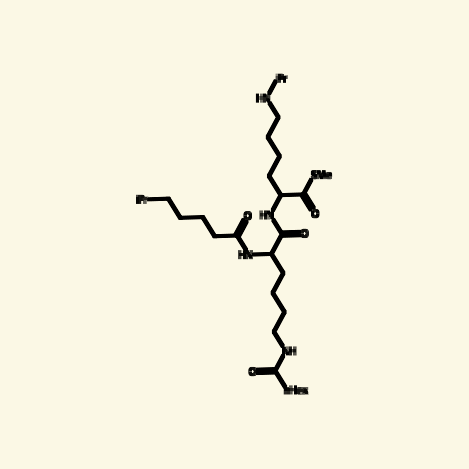 CCCCCCC(=O)NCCCCC(NC(=O)CCCCC(C)C)C(=O)NC(CCCCNC(C)C)C(=O)SC